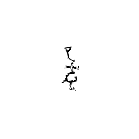 Cc1cc(S(=O)(=O)NCC2CC2)ccc1N